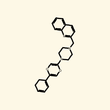 C1=CCCC(C2=COC(N3CCN(Cc4ccc5ccccc5n4)CC3)=CO2)=C1